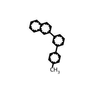 Cc1ccc(-c2cccc(-c3ccc4ccccc4c3)c2)cc1